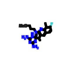 COCCCNc1nc2c(C)c(F)ccc2cc1C(C)C1(C)N=C(N)N=C(N)N1